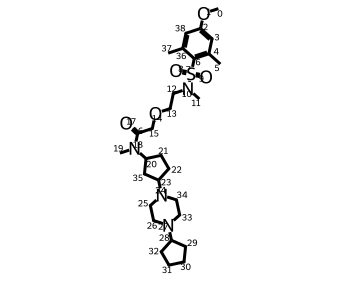 COc1cc(C)c(S(=O)(=O)N(C)CCOCC(=O)N(C)C2CCC(N3CCN(C4CCCC4)CC3)C2)c(C)c1